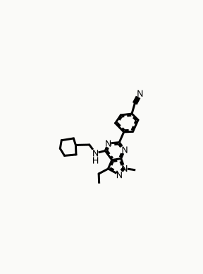 CCc1nn(C)c2nc(-c3ccc(C#N)cc3)nc(NCC3CCCCC3)c12